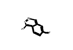 CC(C)c1nncc2cc(F)ccc12